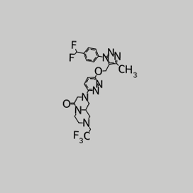 Cc1nnn(-c2ccc(C(F)F)cc2)c1COc1ccc(N2CC(=O)N3CCN(CC(F)(F)F)CC3C2)nn1